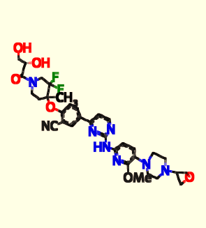 COc1nc(Nc2nccc(-c3ccc(OC4(C)CCN(C(=O)[C@@H](O)CO)CC4(F)F)c(C#N)c3)n2)ccc1N1CCN(C2COC2)CC1